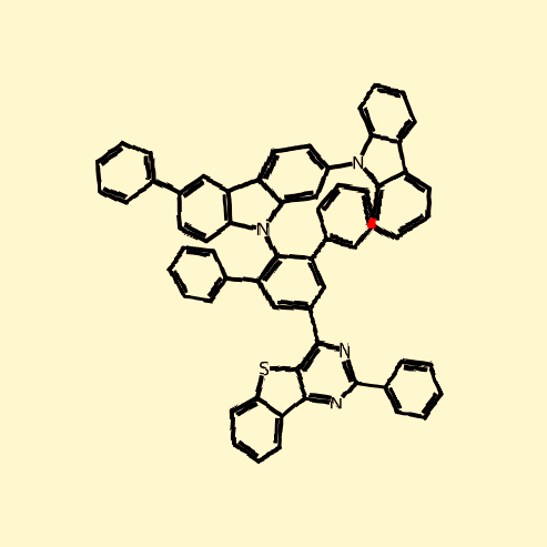 c1ccc(-c2ccc3c(c2)c2ccc(-n4c5ccccc5c5ccccc54)cc2n3-c2c(-c3ccccc3)cc(-c3nc(-c4ccccc4)nc4c3sc3ccccc34)cc2-c2ccccc2)cc1